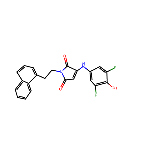 O=C1C=C(Nc2cc(F)c(O)c(F)c2)C(=O)N1CCc1cccc2ccccc12